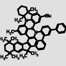 Cc1cc2c3c(c1)N1c4c(cc(C(C)(C)C)cc4C4(C)CCCCC14C)B3N(c1ccc(-c3ccccc3)cc1-c1ccccc1)c1ccc3c(c1-2)-c1cc2c(cc1C3(C)C)C(C)(C)CCC2(C)C